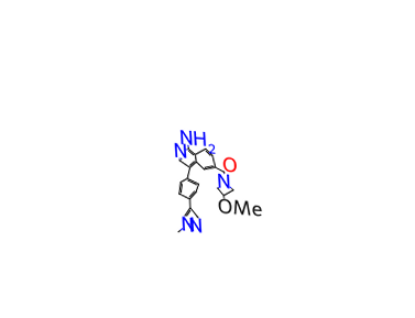 COC1CN(C(=O)c2ccc3c(N)ncc(-c4ccc(-c5cnn(C)c5)cc4)c3c2)C1